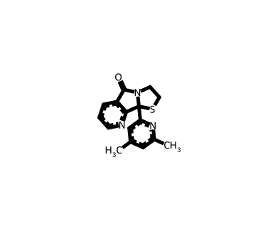 Cc1cc(C)nc(C23SCCN2C(=O)c2cccnc23)c1